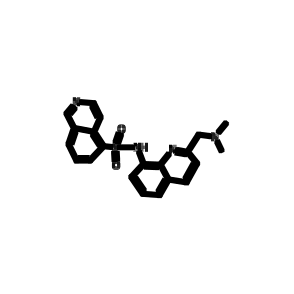 CN(C)Cc1ccc2cccc(NS(=O)(=O)c3cccc4cnccc34)c2n1